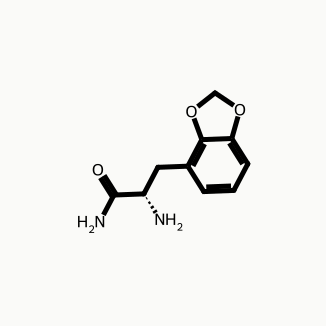 NC(=O)[C@@H](N)Cc1cccc2c1OCO2